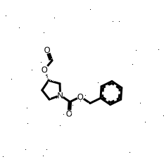 O=CO[C@H]1CCN(C(=O)OCc2ccccc2)C1